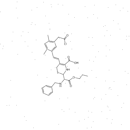 CCCOC(=O)C(NCc1ccccc1)C1NC(C(=O)O)=C(/C=C/c2cc(CC(=O)Cl)c(C)cc2C)CS1